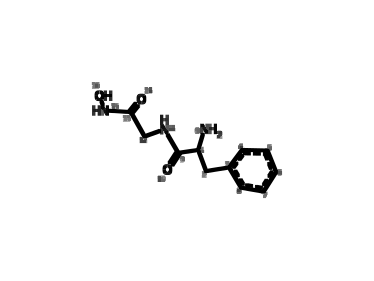 NC(Cc1ccccc1)C(=O)NCC(=O)NO